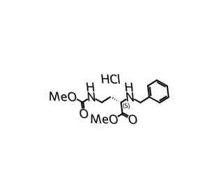 COC(=O)NCC[C@H](NCc1ccccc1)C(=O)OC.Cl